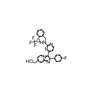 OCc1ccn2c(-c3ccnc(NCc4ccccc4OC(F)(F)F)n3)c(-c3ccc(F)cc3)nc2c1